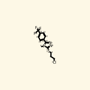 Cn1c(SCCCCl)nnc1-c1ccc(C(F)(F)F)cc1